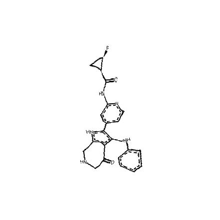 O=C1CNCc2[nH]c(-c3ccnc(NC(=O)[C@H]4C[C@H]4F)c3)c(Nc3ccccc3)c21